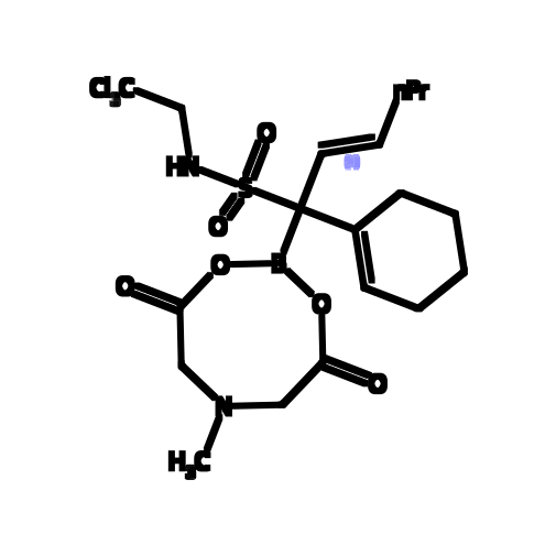 CCC/C=C/C(B1OC(=O)CN(C)CC(=O)O1)(C1=CCCCC1)S(=O)(=O)NCC(Cl)(Cl)Cl